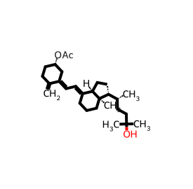 C=C1CC[C@H](OC(C)=O)CC1=CC=C1CCC[C@@]2(C)[C@@H]1CC[C@@H]2[C@H](C)CCC(C)(C)O